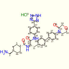 Cl.NC[C@H]1CC[C@H](C(=O)N[C@@H](Cc2ccc(-c3ccc(N4CCOCC4=O)cc3)cc2)C(=O)Nc2ccc(-c3nn[nH]n3)cc2)CC1